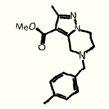 COC(=O)c1c(C)nn2c1CN(Cc1ccc(C)cc1)CC2